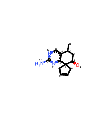 CC1CC(=O)C2(CC=CC2)c2nc(N)ncc21